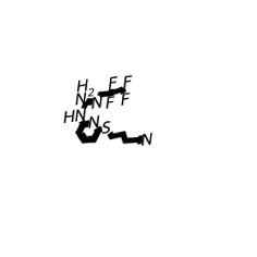 N#CCCCSc1cccc(NC(N)=NCC(F)(F)C(F)F)n1